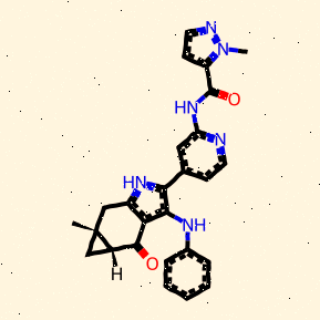 Cn1nccc1C(=O)Nc1cc(-c2[nH]c3c(c2Nc2ccccc2)C(=O)[C@@H]2C[C@]2(C)C3)ccn1